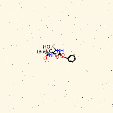 CC(C)(C)OC(=O)NC(C)(C)C(NC(=O)OCc1ccccc1)C(=O)O